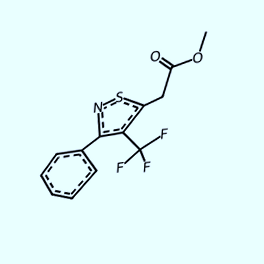 COC(=O)Cc1snc(-c2ccccc2)c1C(F)(F)F